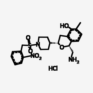 Cc1ccc2c(c1O)C[C@@H](C1CCN(S(=O)(=O)Cc3ccccc3[N+](=O)[O-])CC1)O[C@H]2CN.Cl